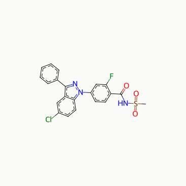 CS(=O)(=O)NC(=O)c1ccc(-n2nc(-c3ccccc3)c3cc(Cl)ccc32)cc1F